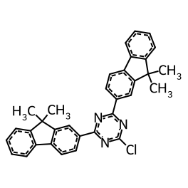 CC1(C)c2ccccc2-c2ccc(-c3nc(Cl)nc(-c4ccc5c(c4)C(C)(C)c4ccccc4-5)n3)cc21